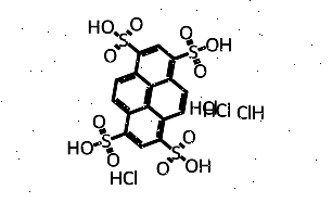 Cl.Cl.Cl.Cl.O=S(=O)(O)c1cc(S(=O)(=O)O)c2ccc3c(S(=O)(=O)O)cc(S(=O)(=O)O)c4ccc1c2c43